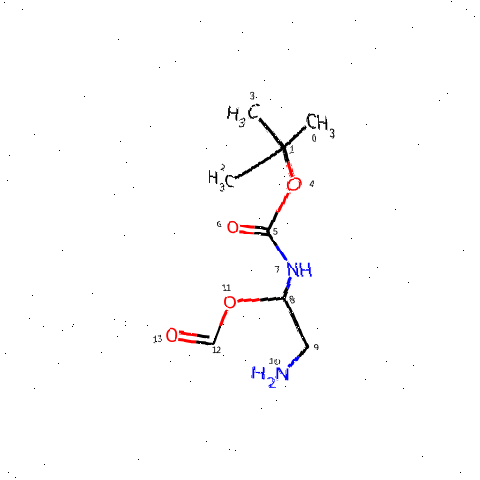 CC(C)(C)OC(=O)NC(CN)OC=O